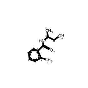 Cc1ccccc1C(=O)NC(C)CO